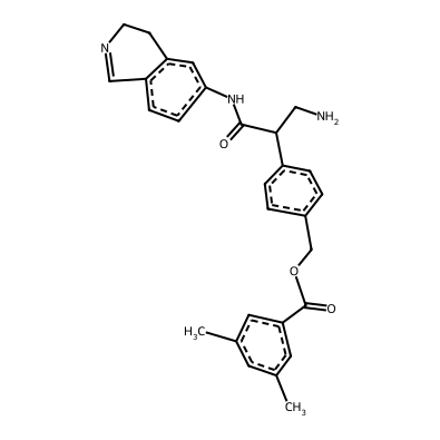 Cc1cc(C)cc(C(=O)OCc2ccc(C(CN)C(=O)Nc3ccc4c(c3)CCN=C4)cc2)c1